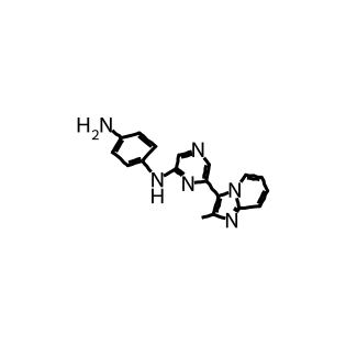 Cc1nc2ccccn2c1-c1cncc(Nc2ccc(N)cc2)n1